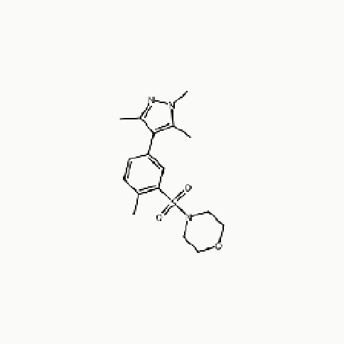 Cc1ccc(-c2c(C)nn(C)c2C)cc1S(=O)(=O)N1CCOCC1